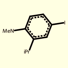 CNc1ccc(I)cc1C(C)C